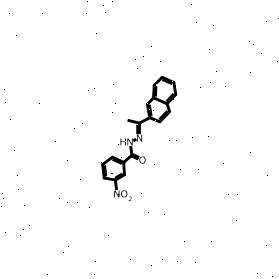 CC(=NNC(=O)c1cccc([N+](=O)[O-])c1)c1ccc2ccccc2c1